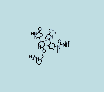 CCNC(=O)Nc1cc(-c2nc(C(F)(F)F)cs2)c(-c2cc(-c3n[nH]c(=O)o3)cnc2OCCC2CCCN2C)cn1